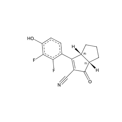 N#CC1=C(c2ccc(O)c(F)c2F)[C@@H]2CCC[C@@H]2C1=O